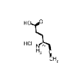 C=C=C[C@@H](N)CCC(=O)O.Cl